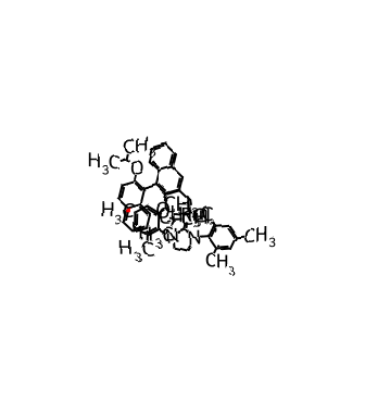 Cc1cc(C)c(N2CCN(c3c(C)cc(C)cc3C)[C]2=[Ru]([Cl])([Cl])=[CH]c2cc3ccccc3c(-c3c(OC(C)C)ccc4ccccc34)c2OC(C)C)c(C)c1